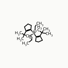 CCO[Si](OCC)(C1=C(C(C)(C)C)CCC1)C1=C(C(C)(C)C)CCC1